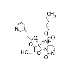 CCCCCOC(=O)Nc1ccnc(=O)n1[C@@H]1O[C@H](CO)[C@@H](OC(=O)CCc2cccnc2)C1(F)F